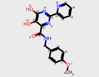 COc1ccc(CNC(=O)c2nc(-c3ccccn3)nc(O)c2O)cc1